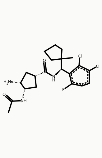 CC(=O)N[C@H]1C[C@@H](C(=O)N[C@H](c2c(F)ccc(Cl)c2Cl)C2(C)CCCC2)C[C@H]1N